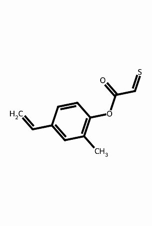 C=Cc1ccc(OC(=O)C=S)c(C)c1